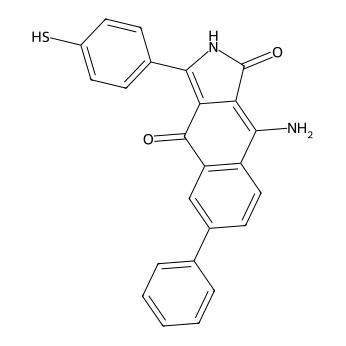 NC1=C2C(=O)NC(c3ccc(S)cc3)=C2C(=O)c2cc(-c3ccccc3)ccc21